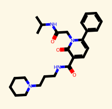 CC(C)NC(=O)Cn1c(-c2ccccc2)ccc(C(=O)NCCCN2CCCCC2)c1=O